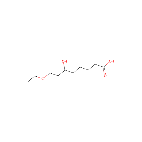 CCOCCC(O)CCCCC(=O)O